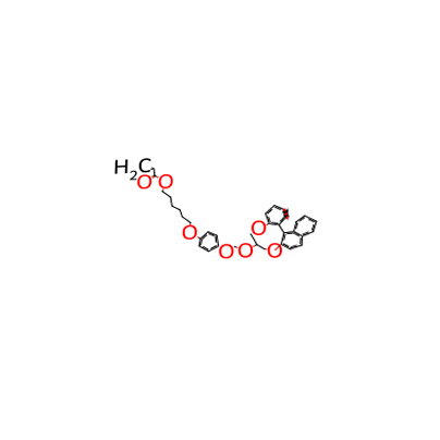 C=CC(=O)OCCCCCCOc1ccc(OCOC2COc3ccc4ccccc4c3-c3c(ccc4ccccc34)OC2)cc1